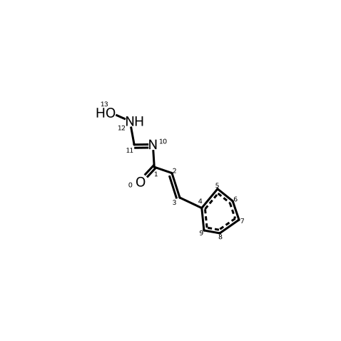 O=C(C=Cc1ccccc1)N=CNO